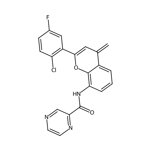 C=C1C=C(c2cc(F)ccc2Cl)Oc2c(NC(=O)c3cnccn3)cccc21